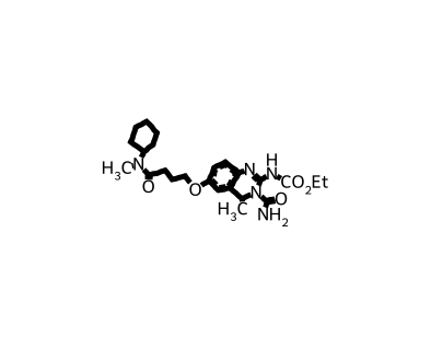 CCOC(=O)NC1=Nc2ccc(OCCCC(=O)N(C)C3CCCCC3)cc2C(C)N1C(N)=O